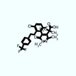 Cc1nn(C)c(=O)c(-c2c(F)ccc(Cl)c2CCc2ccc(C(F)(F)F)cc2)c1C(C)(C)C(=O)O